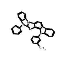 Cc1cccc(-n2c3ccccc3c3ccc4c(nc5n(-c6ccccc6)c6ccccc6n45)c32)c1